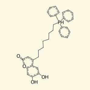 O=c1cc(CCCCCCCC[PH](c2ccccc2)(c2ccccc2)c2ccccc2)c2cc(O)c(O)cc2o1